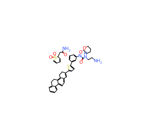 NC(=O)CC1C=CC=CS1(=O)=O.NCCNC(=O)N(O[C@H]1CCCCO1)c1cccc(-c2ccc(C3=Cc4ccc5c(c4CC3)CCc3ccccc3-5)s2)c1